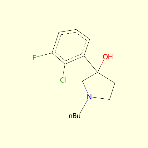 CCCCN1CCC(O)(c2cccc(F)c2Cl)C1